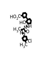 CC1=NN(c2ccc(C)c(Cl)c2)C(=O)/C1=N\Nc1cccc(-c2cccc(C(=O)O)c2)c1O